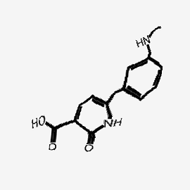 CNc1cccc(-c2ccc(C(=O)O)c(=O)[nH]2)c1